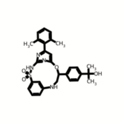 Cc1cccc(C)c1-c1cc2nc(n1)NS(=O)(=O)c1cccc(c1)NCC(c1ccc(C(C)(C)O)cc1)O2